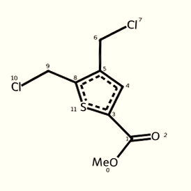 COC(=O)c1cc(CCl)c(CCl)s1